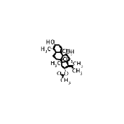 CC(=O)O[C@H]1C[C@@]2(C)C(C[C@@H](O)C3[C@@]4(C)CC[C@@H](O)[C@@H](C)C4CC[C@@]32C)C1=C(C)C